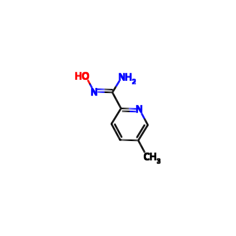 Cc1ccc(C(N)=NO)nc1